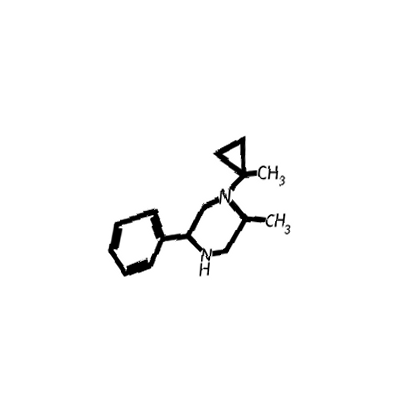 CC1CNC(c2ccccc2)CN1C1(C)CC1